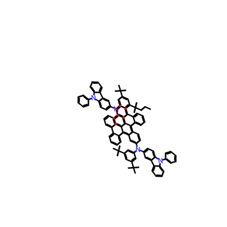 CCCC(C)(C)c1cc(N(c2ccc3c(-c4ccccc4-c4ccccc4)c4cc(N(c5cc(C(C)(C)C)cc(C(C)(C)C)c5)c5ccc6c(c5)c5ccccc5n6-c5ccccc5)ccc4c(-c4ccccc4-c4ccccc4)c3c2)c2ccc3c(c2)c2ccccc2n3-c2ccccc2)cc(C(C)(C)C)c1